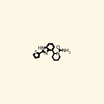 NC(=O)N1CCCCC1c1cccc2[nH]c(-c3cccs3)nc12